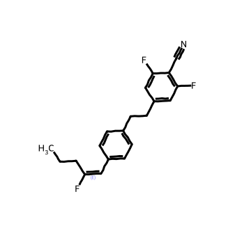 CCC/C(F)=C\c1ccc(CCc2cc(F)c(C#N)c(F)c2)cc1